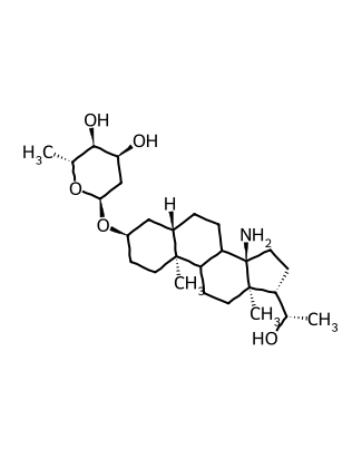 C[C@H](O)[C@H]1CC[C@@]2(N)C3CC[C@H]4C[C@H](O[C@@H]5C[C@H](O)[C@H](O)[C@@H](C)O5)CC[C@]4(C)C3CC[C@]12C